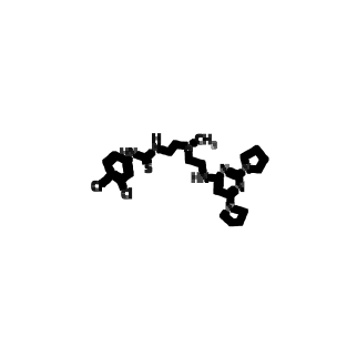 CN(CCNC(=S)Nc1ccc(Cl)c(Cl)c1)CCNc1cc(N2CCCC2)nc(N2CCCC2)n1